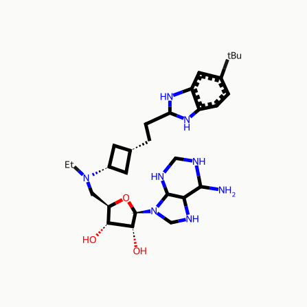 CCN(C[C@H]1O[C@@H](N2CNC3C(N)NCNC32)[C@H](O)[C@@H]1O)[C@H]1C[C@@H](CCC2Nc3ccc(C(C)(C)C)cc3N2)C1